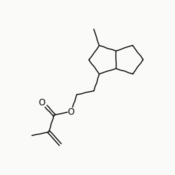 C=C(C)C(=O)OCCC1CC(C)C2CCCC12